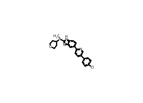 CN(c1nc2cc(-c3ccc(-c4ccc(Cl)cc4)cn3)ccc2[nH]1)C1CCOCC1